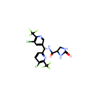 O=C1NCC(C(=O)N[C@@H](c2cnc(C(F)(F)F)c(Cl)c2)c2ccc(Cl)c(C(F)(F)F)n2)N1